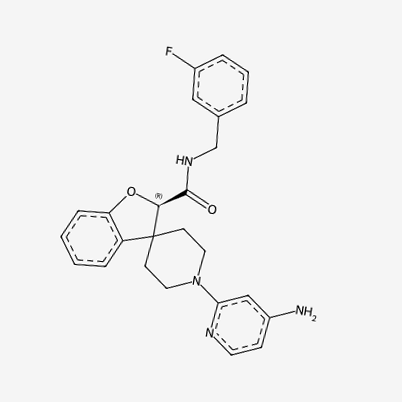 Nc1ccnc(N2CCC3(CC2)c2ccccc2O[C@H]3C(=O)NCc2cccc(F)c2)c1